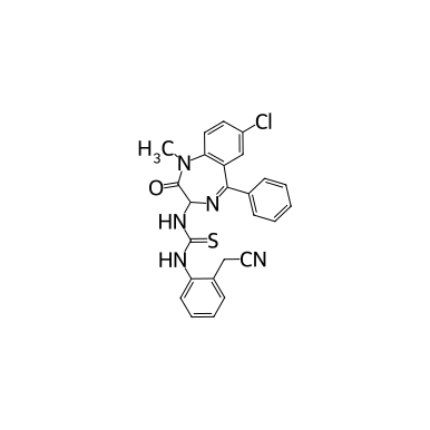 CN1C(=O)C(NC(=S)Nc2ccccc2CC#N)N=C(c2ccccc2)c2cc(Cl)ccc21